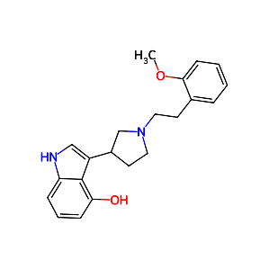 COc1ccccc1CCN1CCC(c2c[nH]c3cccc(O)c23)C1